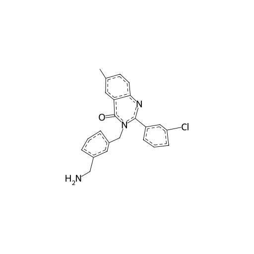 Cc1ccc2nc(-c3cccc(Cl)c3)n(Cc3cccc(CN)c3)c(=O)c2c1